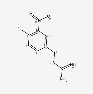 N=C(N)SCc1ccc(F)c([N+](=O)[O-])c1